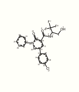 O=C(NC(CO)C(F)(F)F)c1cc(-c2ccc(Cl)cc2)nn(-c2cccnc2)c1=O